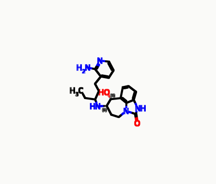 CCC(CCc1cccnc1N)N[C@@H]1CCn2c(=O)[nH]c3cccc(c32)[C@H]1O